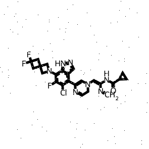 C=N/C(=C\N1C=C(c2c(Cl)c(F)c(N3CC4(C3)CC(F)(F)C4)c3[nH]ncc23)N=CC1)NC(=O)C1CC1